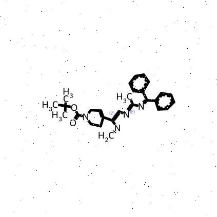 C=N/C(=C\N=C(/C)N=C(c1ccccc1)c1ccccc1)C1=CCN(C(=O)OC(C)(C)C)CC1